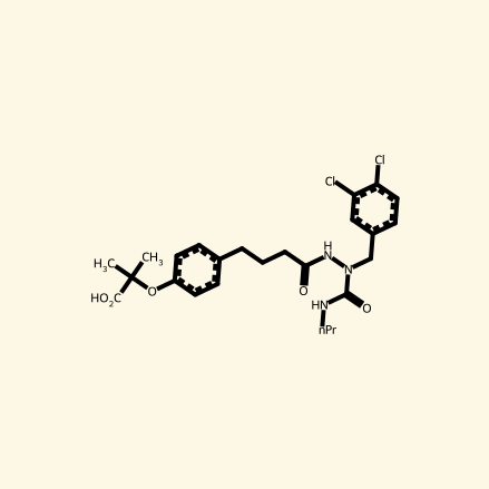 CCCNC(=O)N(Cc1ccc(Cl)c(Cl)c1)NC(=O)CCCc1ccc(OC(C)(C)C(=O)O)cc1